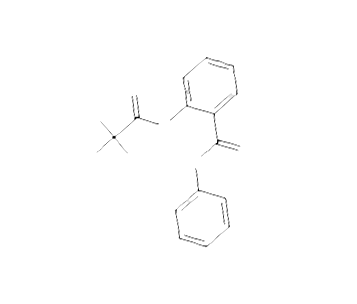 CC(C)(C)C(=O)Oc1ccccc1C(=O)Oc1ccccc1